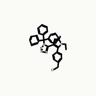 CCn1c(C)cc(-c2nnnn2C(c2ccccc2)(c2ccccc2)c2ccccc2)c1-c1ccc(CCl)cc1